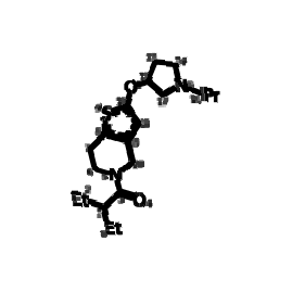 CCC(CC)C(=O)N1CCc2sc(OC3CCN(C(C)C)C3)cc2C1